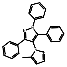 Cc1ccnn1-c1c(-c2ccccc2)nn(-c2ccccc2)c1-c1ccccc1